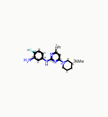 CCCc1cc(N2CCC[C@@H](NC)C2)nc(Nc2ccc(F)c(N)c2)n1